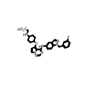 O=C(O)CNC1CCC(Oc2ccn3ncnc(Nc4ccc5c(cnn5Cc5cccc(F)c5)c4)c23)CC1